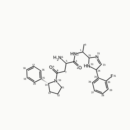 CC(NC(=O)C(N)CC(=O)N1CCC[C@@H]1c1ccccc1)C1N=CC(c2ccccc2F)N1